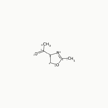 CC(=O)C1COC(C)=N1